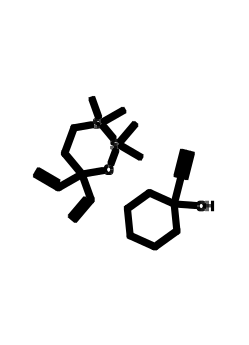 C#CC1(O)CCCCC1.C=CC1(C=C)CC[Si](C)(C)[Si](C)(C)O1